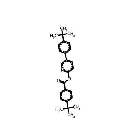 CC(C)(C)c1ccc(C(=O)Oc2ccc(-c3ccc(C(C)(C)C)cc3)cn2)cc1